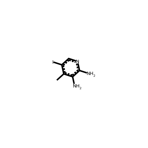 Cc1c(I)cnc(N)c1N